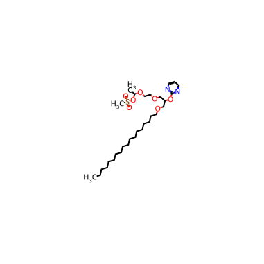 CCCCCCCCCCCCCCCCCCOCC(COCCOC(C)OS(C)(=O)=O)Oc1ncccn1